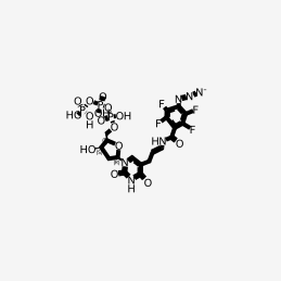 [N-]=[N+]=Nc1c(F)c(F)c(C(=O)NC=CCc2cn([C@H]3C[C@H](O)[C@@H](COP(=O)(O)OP(=O)(O)OP(=O)(O)O)O3)c(=O)[nH]c2=O)c(F)c1F